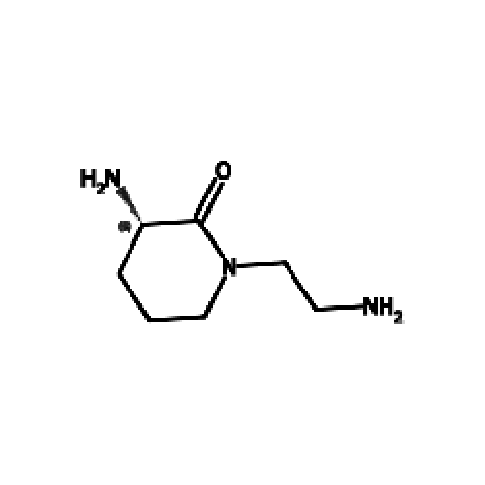 NCCN1CCC[C@H](N)C1=O